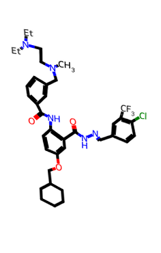 CCN(CC)CCN(C)Cc1cccc(C(=O)Nc2ccc(OCC3CCCCC3)cc2C(=O)NN=Cc2ccc(Cl)c(C(F)(F)F)c2)c1